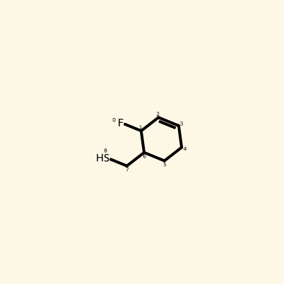 FC1C=CCCC1CS